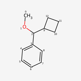 COC(c1cc[c]cc1)C1CCC1